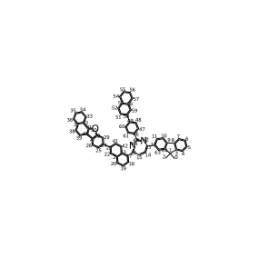 CC1(C)c2ccccc2-c2ccc(C3=C=CC(c4cccc5cc(-c6ccc7c(c6)oc6c8ccccc8ccc76)ccc45)=NC(c4ccc(-c5ccc6ccccc6c5)cc4)=N3)cc21